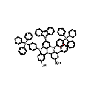 CC(C)(C)c1ccc2c(c1)B1c3cc(C(C)(C)C)cc(-c4ccccc4)c3N(c3ccc([Si](c4ccccc4)(c4ccccc4)c4ccccc4)cc3)c3cc(-n4c5ccccc5c5ccccc54)cc(c31)N2c1ccc([Si](c2ccccc2)(c2ccccc2)c2ccccc2)cc1